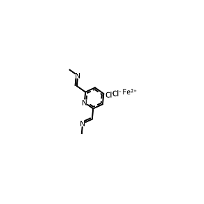 CN=Cc1cccc(C=NC)n1.[Cl-].[Cl-].[Fe+2]